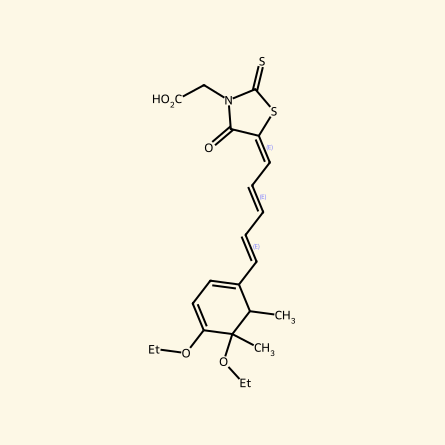 CCOC1=CC=C(/C=C/C=C/C=C2/SC(=S)N(CC(=O)O)C2=O)C(C)C1(C)OCC